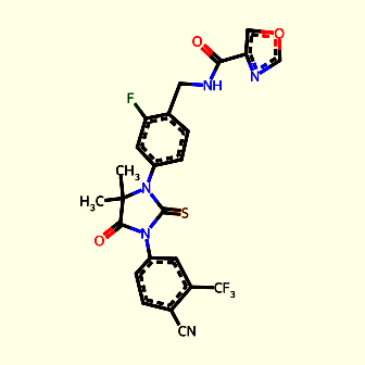 CC1(C)C(=O)N(c2ccc(C#N)c(C(F)(F)F)c2)C(=S)N1c1ccc(CNC(=O)c2cocn2)c(F)c1